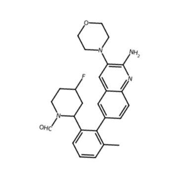 Cc1cccc(C2CC(F)CCN2C=O)c1-c1ccc2nc(N)c(N3CCOCC3)cc2c1